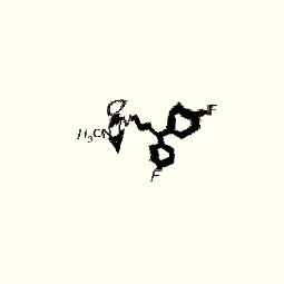 CN1C(=O)N(CCCC(c2ccc(F)cc2)c2ccc(F)cc2)C2CC21